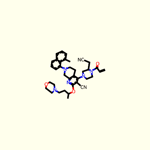 C=CC(=O)N1CCN(c2c(C#N)c(OC(C)CCN3CCOCC3)nc3c2CCN(c2cccc4cccc(C)c24)C3)CC1CC#N